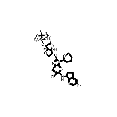 CC(C)(C)[Si](C)(C)O[C@@H]1CO[C@H]2[C@@H]1OC[C@H]2Oc1nc2cc(Cl)c(NC3CCc4cc(Br)cnc43)nc2n1C1CCCCO1